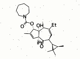 CCC1=C[C@@H]([C@H]2[C@@H](C)C2(C)C)C(=O)[C@@]2(C(C)C)C=C(C)[C@H](OC(=O)N3CCCCCC3)[C@@]2(O)[C@@H]1C